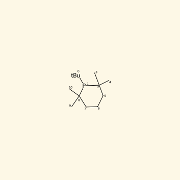 CC(C)(C)P1C(C)(C)CCCC1(C)C